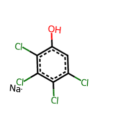 Oc1cc(Cl)c(Cl)c(Cl)c1Cl.[Na]